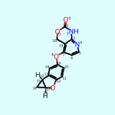 O=C1Nc2nccc(Oc3ccc4c(c3)[C@H]3C[C@H]3O4)c2CO1